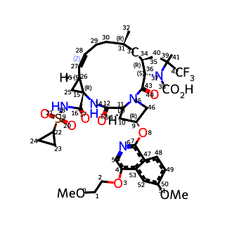 COCCOc1cnc(O[C@@H]2C[C@H]3C(=O)N[C@]4(C(=O)NS(=O)(=O)C5CC5)C[C@H]4/C=C\CC[C@@H](C)C[C@@H](C)[C@H](N(C(=O)O)C(C)(C)C(F)(F)F)C(=O)N3C2)c2ccc(OC)cc12